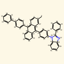 Cc1ccc2c(-c3ccc(-c4ccccc4)cc3)c3ccccc3c(-c3ccc(-n4c(-c5ccccc5)nc5ccccc54)cc3)c2c1